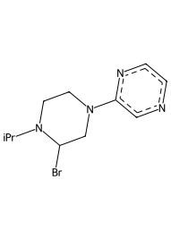 CC(C)N1CCN(c2cnccn2)CC1Br